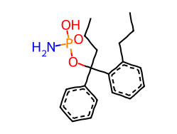 CCCc1ccccc1C(CCC)(OP(N)(=O)O)c1ccccc1